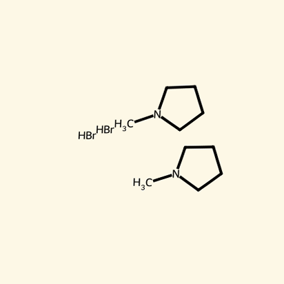 Br.Br.CN1CCCC1.CN1CCCC1